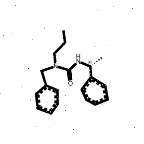 CCCN(Cc1ccccc1)C(=O)N[C@H](C)c1ccccc1